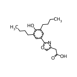 CCCCc1cc(-c2nc(CC(=O)O)co2)cc(CCCC)c1O